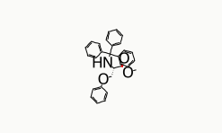 COC(=O)[C@H](COc1ccccc1)NC(c1ccccc1)(c1ccccc1)c1ccccc1